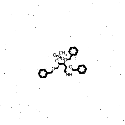 CS(=O)(=O)O[C@H](COCc1ccccc1)[C@@H](OCc1ccccc1)[C@@H](C=N)OCc1ccccc1